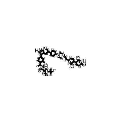 COc1nc(CCN2CCN(c3ccc(-c4cnc5[nH]nc(-c6ccc(C(C)NC(=O)c7nc(C(C)(C)C)no7)c(C)c6)c5c4)cc3)CC2)ccc1C1CCC(=O)NC1=O